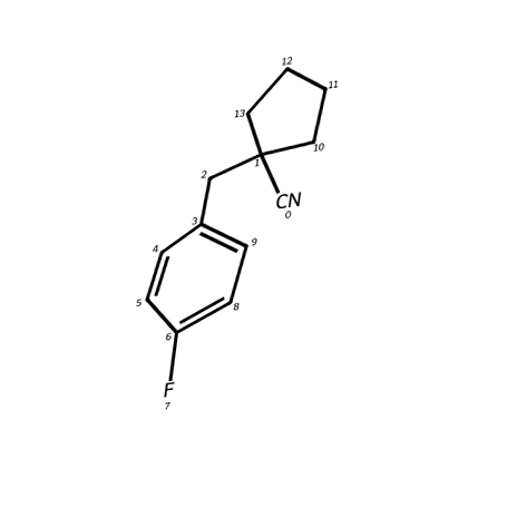 N#CC1(Cc2ccc(F)cc2)CCCC1